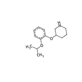 CC(C)Oc1ccccc1OC1CCCNC1